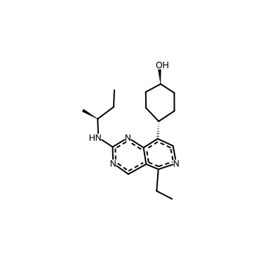 CCc1ncc([C@H]2CC[C@H](O)CC2)c2nc(N[C@@H](C)CC)ncc12